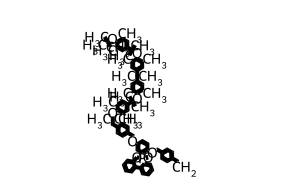 C=Cc1ccc(COc2ccc(OCc3ccc(CC(C)(C)Oc4c(C)cc(C(C)(C)Oc5c(C)cc(C(C)(C)c6cc(C)c(OC(C)(C)c7cc(C)c(OC(C)(C)C)c(C)c7)c(C)c6)cc5C)cc4C)cc3)cc2P2(=O)Oc3ccccc3-c3ccccc32)cc1